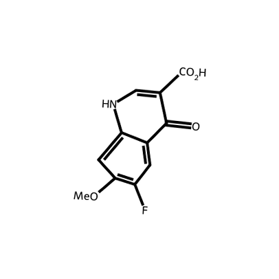 COc1cc2[nH]cc(C(=O)O)c(=O)c2cc1F